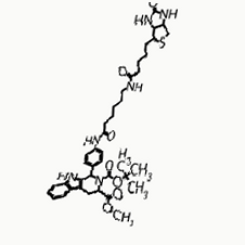 COC(=O)C1Cc2c([nH]c3ccccc23)C(c2ccc(NC(=O)CCCCCNC(=O)CCCCC3SCC4NC(=O)NC43)cc2)N1C(=O)OC(C)(C)C